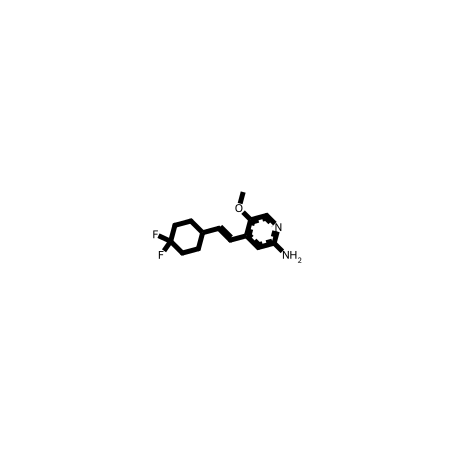 COc1cnc(N)cc1/C=C/C1CCC(F)(F)CC1